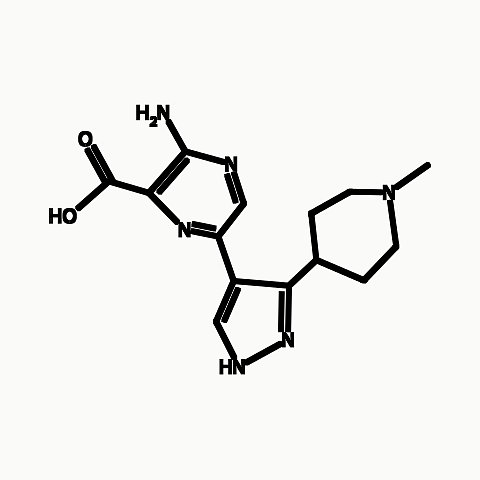 CN1CCC(c2n[nH]cc2-c2cnc(N)c(C(=O)O)n2)CC1